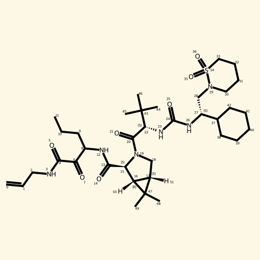 C=CCNC(=O)C(=O)C(CCC)NC(=O)[C@@H]1[C@@H]2[C@H](CN1C(=O)[C@@H](NC(=O)N[C@H](CN1CCCCS1(=O)=O)C1CCCCC1)C(C)(C)C)C2(C)C